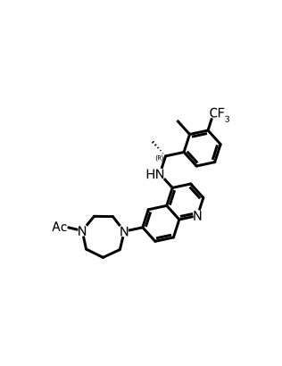 CC(=O)N1CCCN(c2ccc3nccc(N[C@H](C)c4cccc(C(F)(F)F)c4C)c3c2)CC1